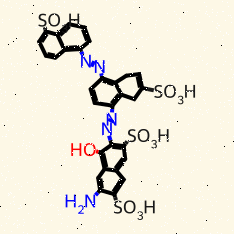 Nc1cc2c(O)c(N=Nc3ccc(N=Nc4cccc5c(S(=O)(=O)O)cccc45)c4c3CC(S(=O)(=O)O)=CC4)c(S(=O)(=O)O)cc2cc1S(=O)(=O)O